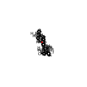 BC(B)(Nc1ccc(S(=O)(=O)NC(=O)c2ccc(N3C(B)(B)C(B)(B)N(C(B)(B)C4=C(c5ccc(Cl)cc5)CC(C)(C)CC4)C(B)(B)C3(B)B)cc2Oc2cnc3[nH]ccc3c2)cc1[N+](=O)[O-])C1CCOCC1